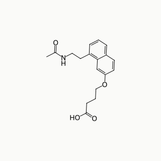 CC(=O)NCCc1cccc2ccc(OCCCC(=O)O)cc12